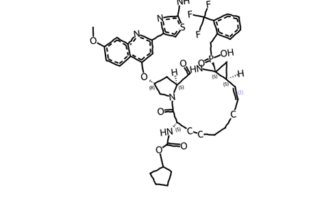 COc1ccc2c(O[C@@H]3C[C@H]4C(=O)N[C@]5(P(=O)(O)Cc6ccccc6C(F)(F)F)C[C@H]5/C=C\CCCCC[C@H](NC(=O)OC5CCCC5)C(=O)N4C3)cc(-c3csc(NC(C)C)n3)nc2c1